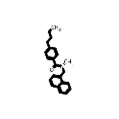 CCCCc1ccc(C(=O)N(C)Cc2cccc3ccccc23)cc1